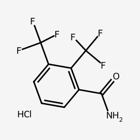 Cl.NC(=O)c1cccc(C(F)(F)F)c1C(F)(F)F